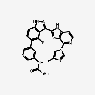 CCCCC(=O)Nc1cncc(-c2ccc3[nH]nc(-c4nc5c(-n6cnc(C)c6)nccc5[nH]4)c3c2F)c1